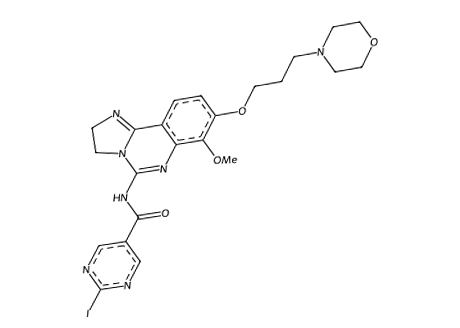 COc1c(OCCCN2CCOCC2)ccc2c1N=C(NC(=O)c1cnc(I)nc1)N1CCN=C21